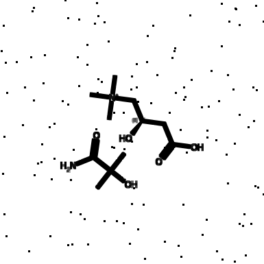 CC(C)(O)C(N)=O.C[N+](C)(C)C[C@H](O)CC(=O)O